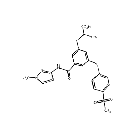 CC(Oc1cc(Oc2ccc(S(C)(=O)=O)cc2)cc(C(=O)Nc2ccn(C)n2)c1)C(=O)O